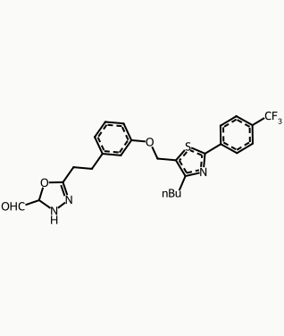 CCCCc1nc(-c2ccc(C(F)(F)F)cc2)sc1COc1cccc(CCC2=NNC(C=O)O2)c1